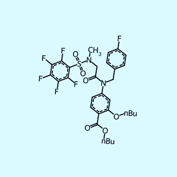 CCCCOC(=O)c1ccc(N(Cc2ccc(F)cc2)C(=O)CN(C)S(=O)(=O)c2c(F)c(F)c(F)c(F)c2F)cc1OCCCC